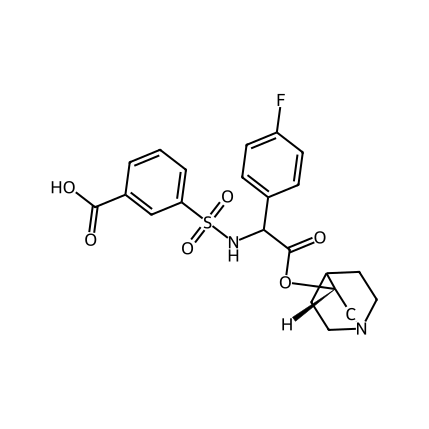 O=C(O)c1cccc(S(=O)(=O)NC(C(=O)O[C@H]2CN3CCC2CC3)c2ccc(F)cc2)c1